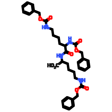 O=C(NCCCCC(NC(=O)C(CCCCNC(=O)OCc1ccccc1)NC(=O)OCc1ccccc1)C(=O)O)OCc1ccccc1